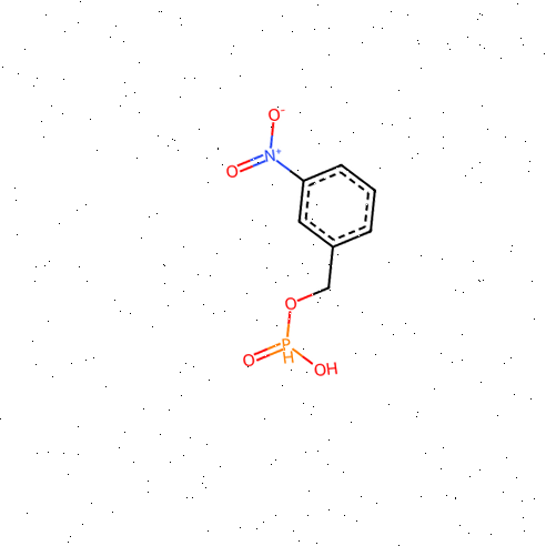 O=[N+]([O-])c1cccc(CO[PH](=O)O)c1